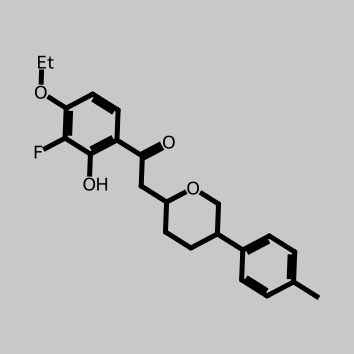 CCOc1ccc(C(=O)CC2CCC(c3ccc(C)cc3)CO2)c(O)c1F